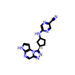 N#Cc1cnc(NC2CC[C@@H](c3nnc4cnc5[nH]ccc5n34)C2)cn1